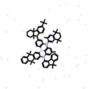 Cc1cc2c3c(c1)N(c1cccc4c1-c1ccccc1C4(C)C)c1cc4c(cc1B3c1ccc(C3c5ccc(C(C)(C)C)cc5C5(C)CCCCC35C)cc1N2c1cc2c(cc1C)C(C)(C)CCC2(C)C)C(C)(C)c1ccccc1C4(C)C